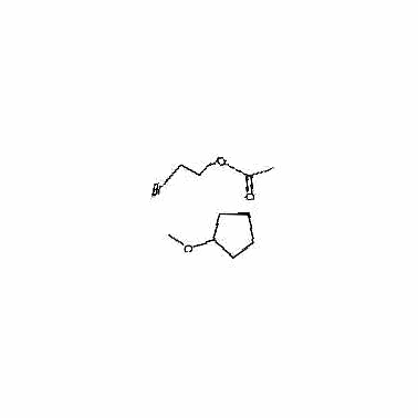 CC(=O)OCCBr.COC1CCCC1